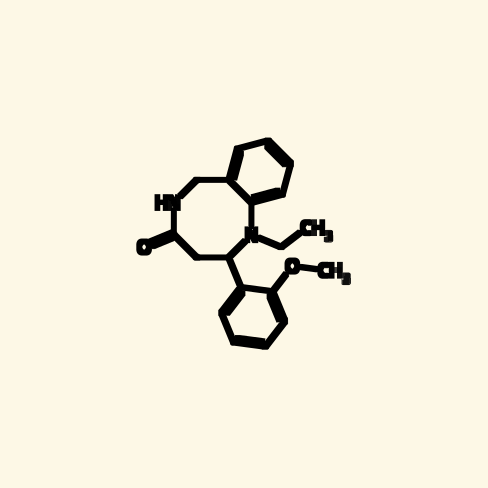 CCN1c2ccccc2CNC(=O)CC1c1ccccc1OC